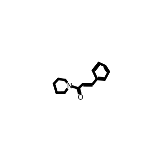 O=C(C=Cc1ccccc1)N1CCCCC1